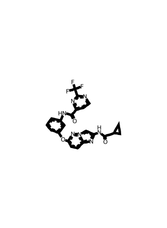 O=C(Nc1cccc(Oc2ccc3nc(NC(=O)C4CC4)cn3n2)c1)c1ccnc(C(F)(F)F)n1